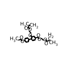 C=C(C)C(=O)OCCOC(=O)c1ccc(-c2ccc(OC(=O)CC)cc2)c(OCCOC(=O)C(=C)C)c1